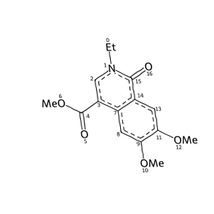 CCn1cc(C(=O)OC)c2cc(OC)c(OC)cc2c1=O